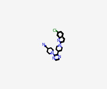 N#CC1CCN(c2nccnc2C2=CCN(c3ccc4ccc(Cl)cc4n3)CC2)CC1